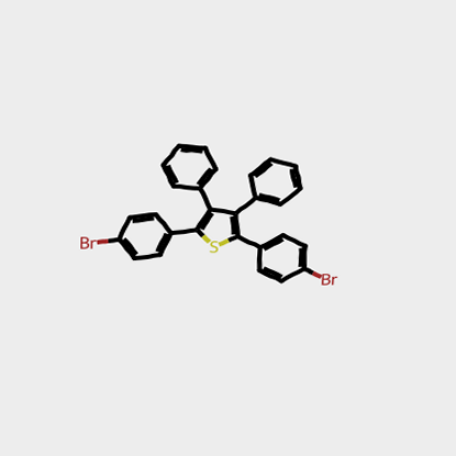 Brc1ccc(-c2sc(-c3ccc(Br)cc3)c(-c3ccccc3)c2-c2ccccc2)cc1